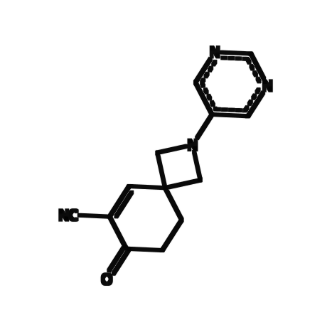 N#CC1=CC2(CCC1=O)CN(c1cncnc1)C2